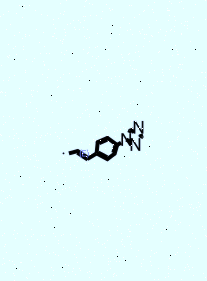 [CH2]/C=C/c1ccc(-n2cncn2)cc1